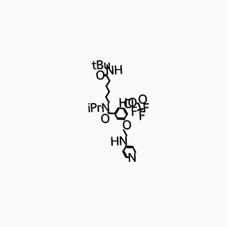 CC(C)N(CCCCCC(=O)NC(C)(C)C)C(=O)c1cc(Cl)cc(OCCNc2ccncc2)c1.O=C(O)C(F)(F)F